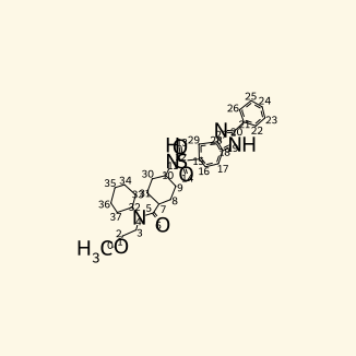 COCCN(C(=O)C1CCC(NS(=O)(=O)c2ccc3[nH]c(-c4ccccc4)nc3c2)CC1)C1CCCCC1